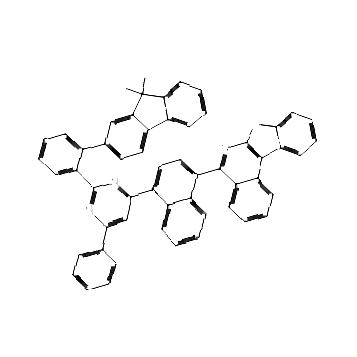 CC1(C)c2ccccc2-c2ccc(-c3ccccc3-c3nc(-c4ccccc4)cc(-c4ccc(-c5nc6oc7ccccc7c6c6ccccc56)c5ccccc45)n3)cc21